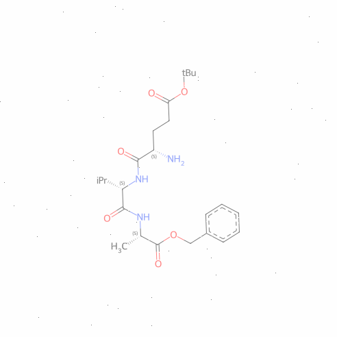 CC(C)[C@H](NC(=O)[C@@H](N)CCC(=O)OC(C)(C)C)C(=O)N[C@@H](C)C(=O)OCc1ccccc1